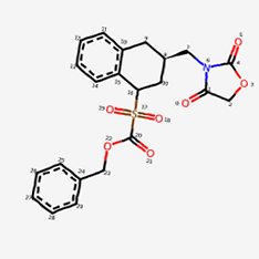 O=C1COC(=O)N1C[C@@H]1Cc2ccccc2C(S(=O)(=O)C(=O)OCc2ccccc2)C1